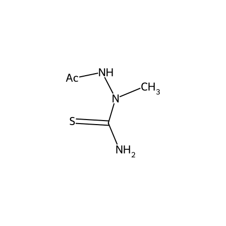 CC(=O)NN(C)C(N)=S